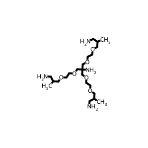 CC(CN)COCCOCC(N)(COCCOCC(C)CN)COCCOCC(C)CN